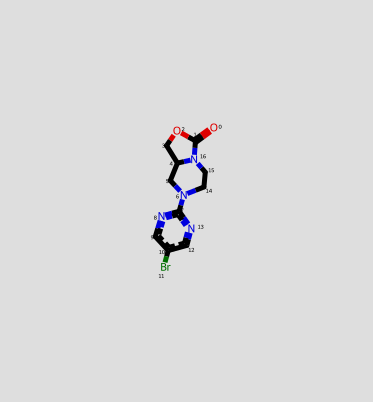 O=C1OCC2CN(c3ncc(Br)cn3)CCN12